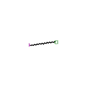 ClCCCCCCCCCCCCCCCCCCCCI